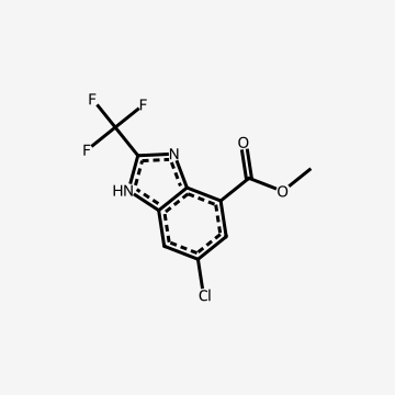 COC(=O)c1cc(Cl)cc2[nH]c(C(F)(F)F)nc12